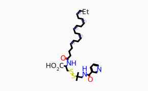 CC/C=C\C/C=C\C/C=C\C/C=C\C/C=C\CCCC(=O)NC(CSSC(C)(C)CNC(=O)c1cccnc1)C(=O)O